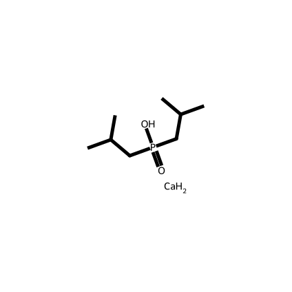 CC(C)CP(=O)(O)CC(C)C.[CaH2]